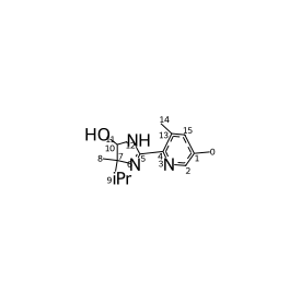 Cc1cnc(C2=NC(C)(C(C)C)C(O)N2)c(C)c1